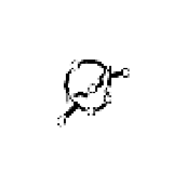 O=C1COCCOCC(=O)N2CCOCCN1CCOCC2